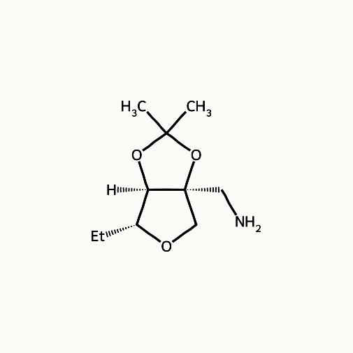 CC[C@H]1OC[C@]2(CN)OC(C)(C)O[C@H]12